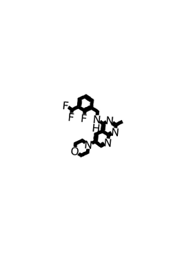 Cc1nc(NCc2cccc(C(F)F)c2F)c2cc(N3CCOCC3)cnc2n1